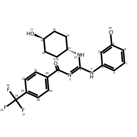 O=C(/N=C(/Nc1cccc(Cl)c1)N[C@H]1CC[C@H](O)CC1)c1ccc(C(F)(F)F)cc1